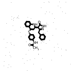 CC(=O)Nc1ccc(SC2=C/C(=C3/C(=O)NN=C3Cc3ccccc3)Nc3ccccc32)cc1